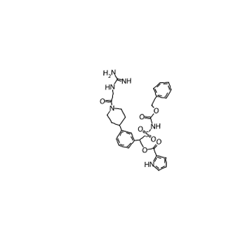 N=C(N)NCC(=O)N1CCC(c2cccc(C(OC(=O)c3ccc[nH]3)S(=O)(=O)NC(=O)OCc3ccccc3)c2)CC1